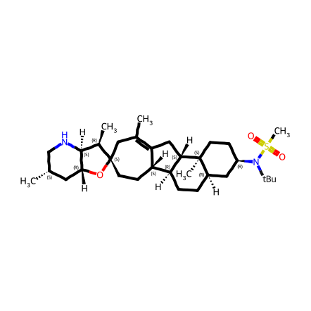 CC1=C2C[C@H]3[C@@H](CC[C@@H]4C[C@H](N(C(C)(C)C)S(C)(=O)=O)CC[C@@]43C)[C@@H]2CC[C@@]2(C1)O[C@@H]1C[C@H](C)CN[C@H]1[C@H]2C